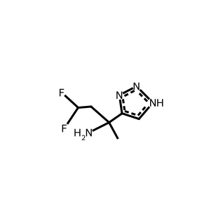 CC(N)(CC(F)F)c1c[nH]nn1